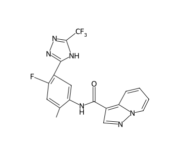 Cc1cc(F)c(-c2nnc(C(F)(F)F)[nH]2)cc1NC(=O)c1cnn2ccccc12